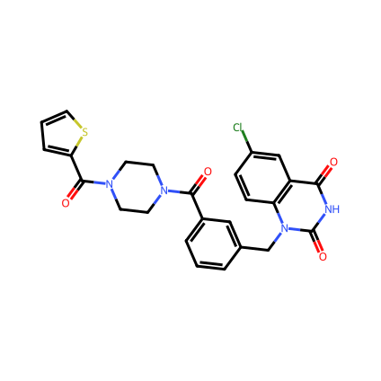 O=C(c1cccc(Cn2c(=O)[nH]c(=O)c3cc(Cl)ccc32)c1)N1CCN(C(=O)c2cccs2)CC1